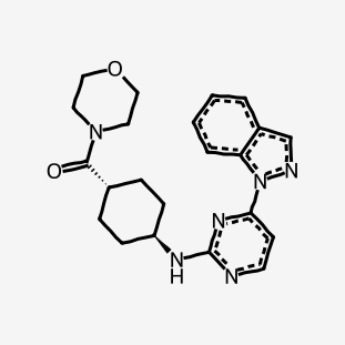 O=C([C@H]1CC[C@H](Nc2nccc(-n3ncc4ccccc43)n2)CC1)N1CCOCC1